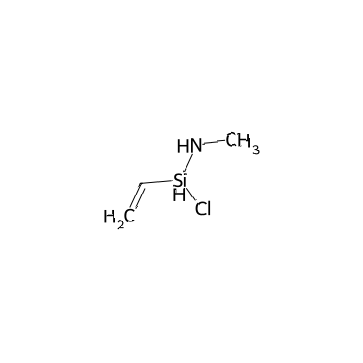 C=C[SiH](Cl)NC